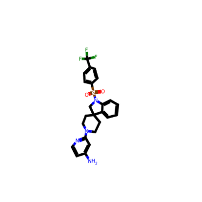 Nc1ccnc(N2CCC3(CC2)CN(S(=O)(=O)c2ccc(C(F)(F)F)cc2)c2ccccc23)c1